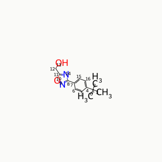 CC(C)(C)c1ccc(-c2noc(CO)n2)cc1